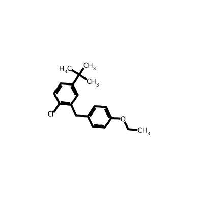 CCOc1ccc(Cc2cc(C(C)(C)C)ccc2Cl)cc1